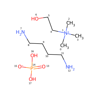 C[N+](C)(C)CCO.NCCCCN.O=P([O-])(O)O